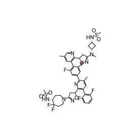 Cc1cnc(C2CC(N(C)[C@H]3C[C@@H](NS(C)(=O)=O)C3)=NO2)c(-c2c(F)cc(-c3nc(C4CC(N5CC[C@@H](NS(C)(=O)=O)C(F)(F)CC5)=NO4)c(-c4c(F)cccc4F)cc3C)cc2F)c1